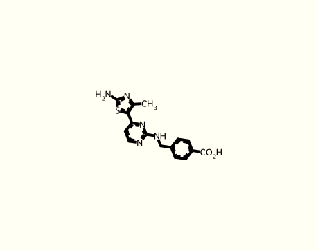 Cc1nc(N)sc1-c1ccnc(NCc2ccc(C(=O)O)cc2)n1